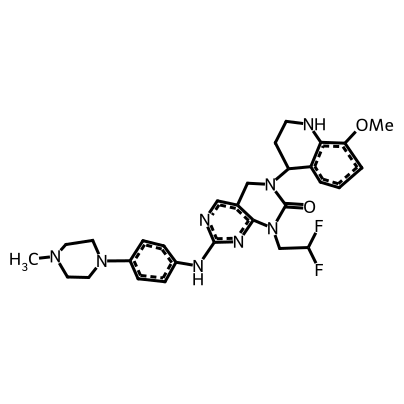 COc1cccc2c1NCCC2N1Cc2cnc(Nc3ccc(N4CCN(C)CC4)cc3)nc2N(CC(F)F)C1=O